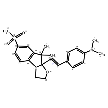 CN(C)c1ccc(/C=C/C23OCCN2c2ccc(S(C)(=O)=O)cc2C3(C)C)cc1